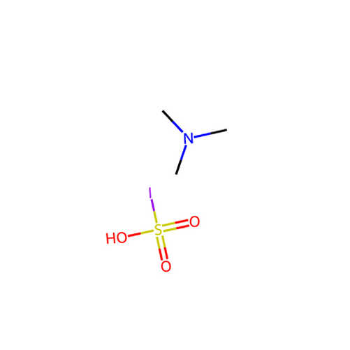 CN(C)C.O=S(=O)(O)I